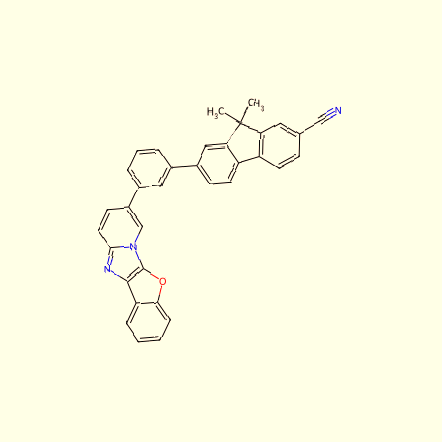 CC1(C)c2cc(C#N)ccc2-c2ccc(-c3cccc(-c4ccc5nc6c7ccccc7oc6n5c4)c3)cc21